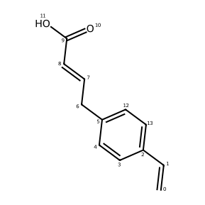 C=Cc1ccc(CC=CC(=O)O)cc1